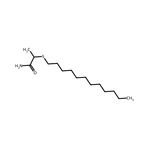 CCCCCCCCCCCCSC(C)C(N)=O